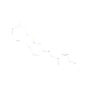 C=C(/C=C(F)\C(F)=C(/C)F)NC(=O)c1ccc(F)c(SC2CCCCC(F)C2)c1